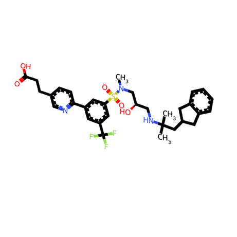 CN(C[C@H](O)CNC(C)(C)CC1Cc2ccccc2C1)S(=O)(=O)c1cc(-c2ccc(CCC(=O)O)cn2)cc(C(F)(F)F)c1